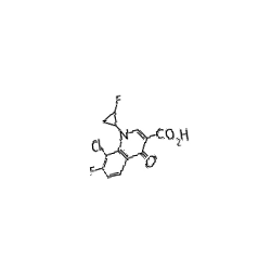 O=C(O)c1cn(C2CC2F)c2c(Cl)c(F)ccc2c1=O